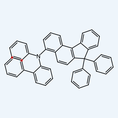 c1ccc(-c2ccccc2N(c2ccccc2)c2cccc3c4c(ccc23)C(c2ccccc2)(c2ccccc2)c2ccccc2-4)cc1